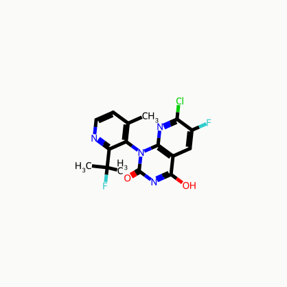 Cc1ccnc(C(C)(C)F)c1-n1c(=O)nc(O)c2cc(F)c(Cl)nc21